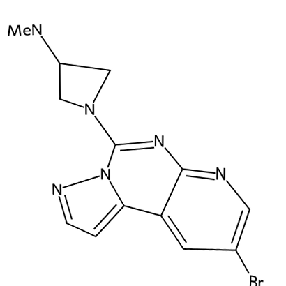 CNC1CN(c2nc3ncc(Br)cc3c3ccnn23)C1